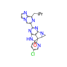 CC(C)Cc1nc(-c2nc3c4c(n2)N2CC2C4(c2ccc(Cl)cn2)C(=O)N3)cn2ccnc12